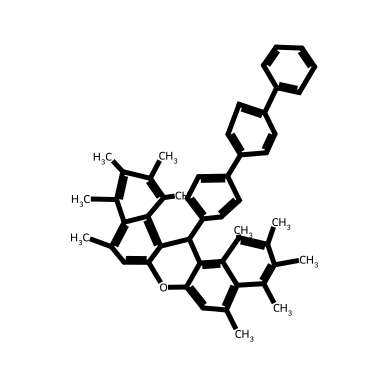 Cc1c(C)c(C)c2c3c(cc(C)c2c1C)Oc1cc(C)c2c(C)c(C)c(C)c(C)c2c1C3c1ccc(-c2ccc(-c3ccccc3)cc2)cc1